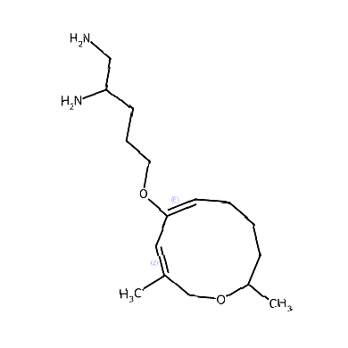 C/C1=C/C(OCCCC(N)CN)=C\CCCC(C)OC1